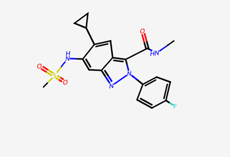 CNC(=O)c1c2cc(C3CC3)c(NS(C)(=O)=O)cc2nn1-c1ccc(F)cc1